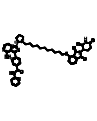 Nc1nccn2c([C@@H]3CCCN3CCCCCCCCCCCSc3cccc4c3C(=O)N(C3CCC(=O)NC3=O)C4=O)nc(-c3ccc(C(=O)Nc4ccccn4)cc3)c12